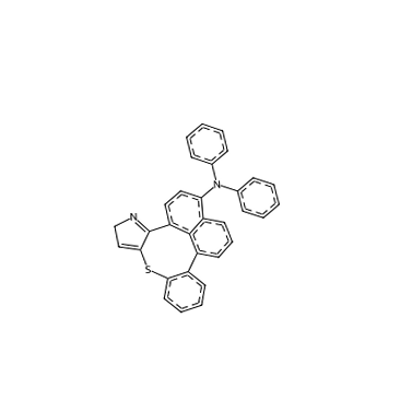 C1=C2Sc3ccccc3-c3cccc4c(N(c5ccccc5)c5ccccc5)ccc(c34)C2=NC1